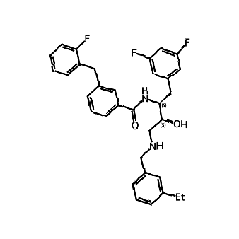 CCc1cccc(CNC[C@H](O)[C@H](Cc2cc(F)cc(F)c2)NC(=O)c2cccc(Cc3ccccc3F)c2)c1